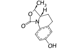 C[C@@H]1OC(=O)N2c3ccc(O)cc3CC[C@@H]12